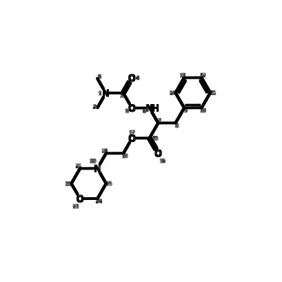 CN(C)C(=O)ONC(Cc1ccccc1)C(=O)OCCN1CCOCC1